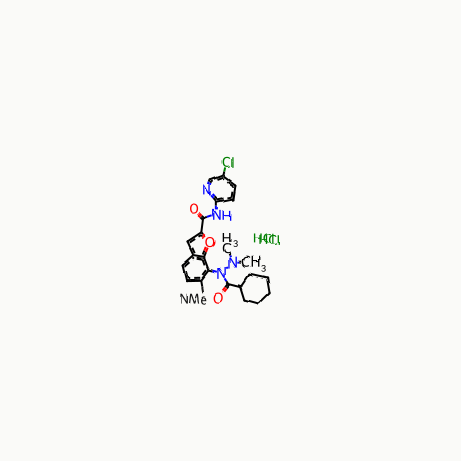 CNc1ccc2cc(C(=O)Nc3ccc(Cl)cn3)oc2c1N(C(=O)C1CCCCC1)N(C)C.Cl.Cl